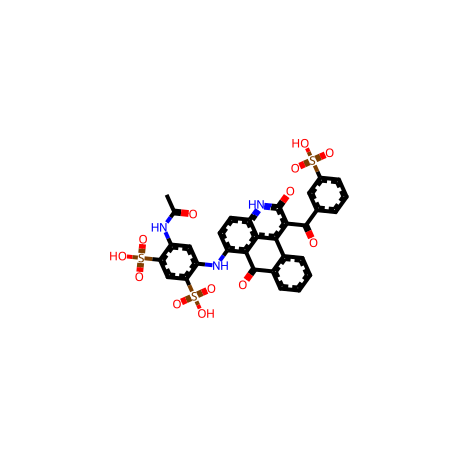 CC(=O)Nc1cc(Nc2ccc3[nH]c(=O)c(C(=O)c4cccc(S(=O)(=O)O)c4)c4c3c2C(=O)c2ccccc2-4)c(S(=O)(=O)O)cc1S(=O)(=O)O